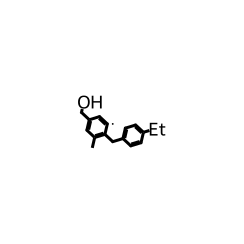 CCc1ccc(Cc2[c]cc(CO)cc2C)cc1